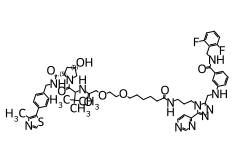 Cc1ncsc1-c1ccc(CNC(=O)[C@@H]2C[C@@H](O)CN2C(=O)C(NC(=O)COCCOCCCCCC(=O)NCCCn2c(CNc3cccc(C(=O)NCc4c(F)cccc4F)c3)nnc2-c2ccncn2)C(C)(C)C)cc1